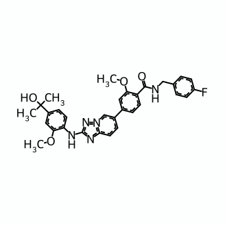 COc1cc(C(C)(C)O)ccc1Nc1nc2ccc(-c3ccc(C(=O)NCc4ccc(F)cc4)c(OC)c3)cn2n1